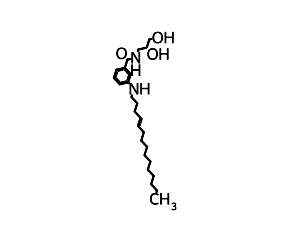 CCCCCCCCCC/C=C/CCCNc1cccc(C(=O)NCC(O)CO)c1